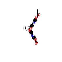 CC(Oc1ccc(C=Nc2ccc(OCC3CO3)cc2)cc1)Oc1ccc(C=Nc2ccc(OCC3CO3)cc2)cc1